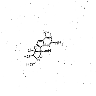 N#C[C@@]1(c2ccc3c(N)nc(N)nn23)O[C@H](CO)C(O)C1(Cl)Cl